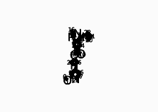 COc1cc(N2CC(OC(=O)N3Cc4nc(C)nc(N5CCC5)c4C3)C2)ccn1